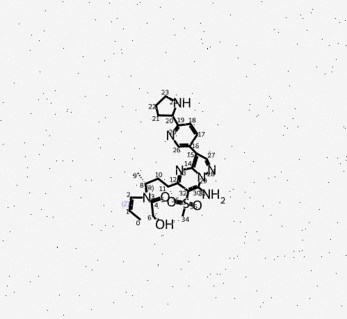 C/C=C\N(C(=O)CO)[C@H](C)CCc1nc2c(-c3ccc(C4CCCN4)nc3)cnn2c(N)c1S(C)(=O)=O